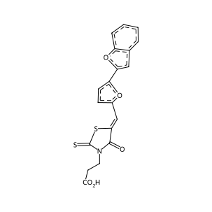 O=C(O)CCN1C(=O)C(=Cc2ccc(-c3cc4ccccc4o3)o2)SC1=S